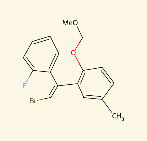 COCOc1ccc(C)cc1C(=CBr)c1ccccc1F